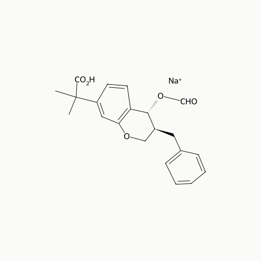 CC(C)(C(=O)O)c1ccc2c(c1)OC[C@H](Cc1ccccc1)[C@H]2O[C-]=O.[Na+]